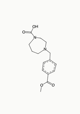 COC(=O)c1ccc(CN2CCCN(C(=O)O)CC2)cc1